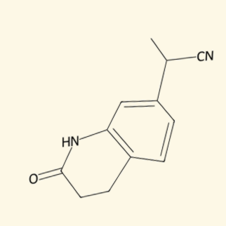 CC(C#N)c1ccc2c(c1)NC(=O)CC2